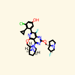 Oc1cc(Cl)c(C2CC2)c(-c2nc3c4c(nc(OC[C@]56CCCN5C[C@H](F)C6)nc4c2F)N2C[C@H]4CC[C@H](N4)[C@H]2CO3)c1